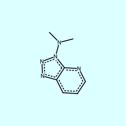 CN(C)n1nnc2cccnc21